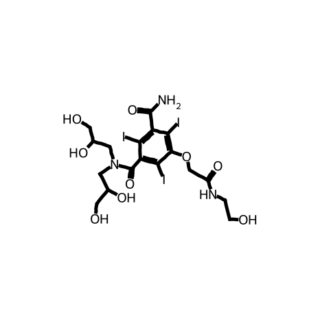 NC(=O)c1c(I)c(OCC(=O)NCCO)c(I)c(C(=O)N(CC(O)CO)CC(O)CO)c1I